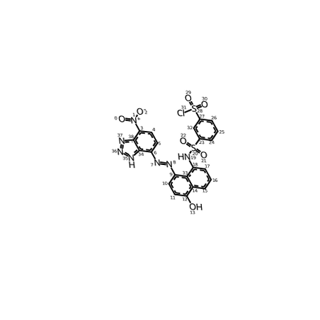 O=[N+]([O-])c1ccc(N=Nc2ccc(O)c3cccc(NS(=O)(=O)c4cccc(S(=O)(=O)Cl)c4)c23)c2[nH]nnc12